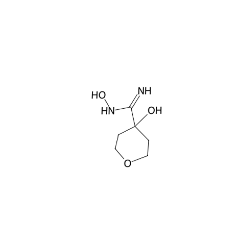 N=C(NO)C1(O)CCOCC1